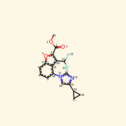 COC(=O)c1oc2cccc(-n3cnc(C4CC4)c3)c2c1C(F)F